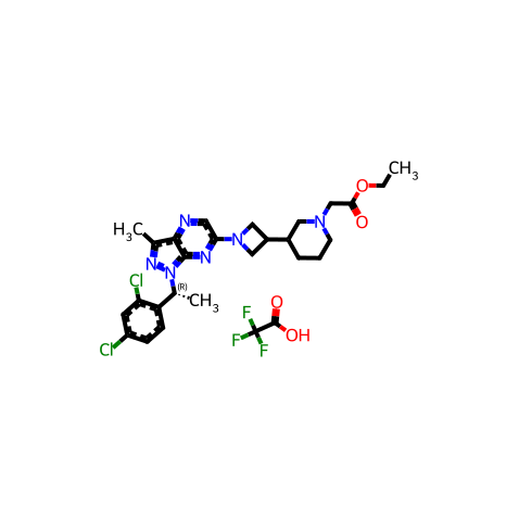 CCOC(=O)CN1CCCC(C2CN(c3cnc4c(C)nn([C@H](C)c5ccc(Cl)cc5Cl)c4n3)C2)C1.O=C(O)C(F)(F)F